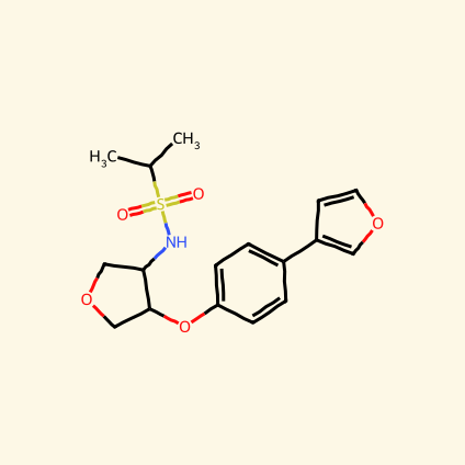 CC(C)S(=O)(=O)NC1COCC1Oc1ccc(-c2ccoc2)cc1